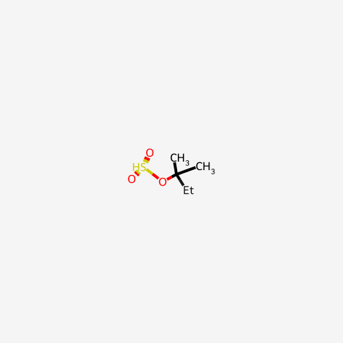 CCC(C)(C)O[SH](=O)=O